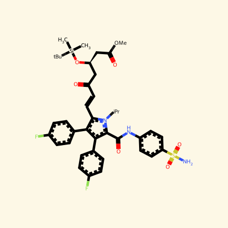 COC(=O)C[C@@H](CC(=O)/C=C/c1c(-c2ccc(F)cc2)c(-c2ccc(F)cc2)c(C(=O)Nc2ccc(S(N)(=O)=O)cc2)n1C(C)C)O[Si](C)(C)C(C)(C)C